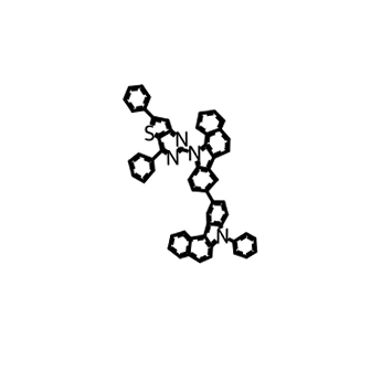 c1ccc(-c2cc3nc(-n4c5ccc(-c6ccc7c(c6)c6c8ccccc8ccc6n7-c6ccccc6)cc5c5ccc6ccccc6c54)nc(-c4ccccc4)c3s2)cc1